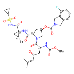 CC[C@@H]1C[C@]1(NC(=O)[C@@H]1C[C@@H](OC(=O)N2Cc3cccc(F)c3C2)CN1C(=O)[C@H](CC(=O)C=C(C)C)NC(=O)OC(C)(C)C)C(=O)NS(=O)(=O)C1CC1